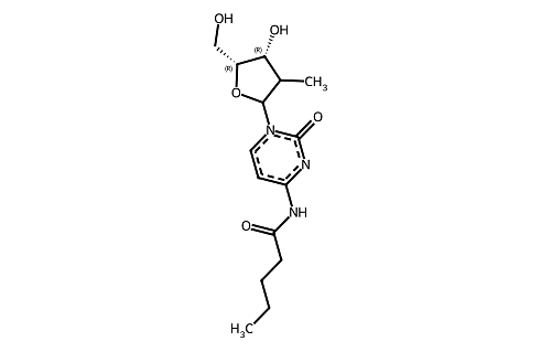 CCCCC(=O)Nc1ccn(C2O[C@H](CO)[C@H](O)C2C)c(=O)n1